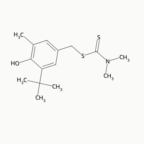 Cc1cc(CSC(=S)N(C)C)cc(C(C)(C)C)c1O